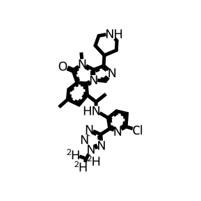 [2H]C([2H])([2H])n1nnc(-c2nc(Cl)ccc2NC(C)c2cc(C)cc3c(=O)n(C)c4c(C5CCNCC5)ncn4c23)n1